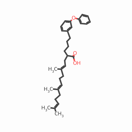 CC(C)=CCC/C(C)=C/CC/C(C)=C/CC(CCCCc1cccc(Oc2ccccc2)c1)C(=O)O